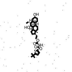 CC[C@H]1[C@@H](O)[C@@H]2[C@H](CC[C@]3(C)[C@@H](CCOC(=O)NS(=O)(=O)c4ccc(C(C)(C)C)s4)CC[C@@H]23)[C@@]2(C)CC[C@@H](O)C[C@@H]12